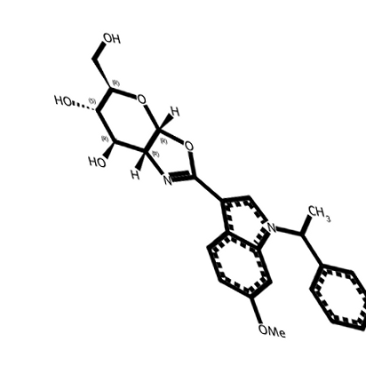 COc1ccc2c(C3=N[C@H]4[C@@H](O3)O[C@H](CO)[C@@H](O)[C@@H]4O)cn(C(C)c3ccccc3)c2c1